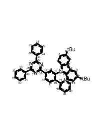 CC(C)(C)c1ccc2c(c1)c1cc(C(C)(C)C)ccc1n2-c1cc(-c2nc(-c3ccccc3)nc(-c3ccccc3)n2)ccc1-c1ccccn1